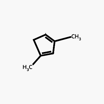 CC1=[C]CC(C)=C1